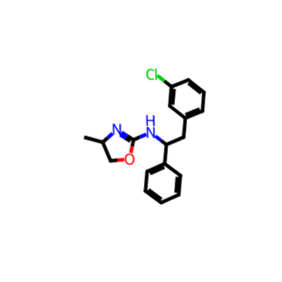 CC1COC(NC(Cc2cccc(Cl)c2)c2ccccc2)=N1